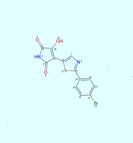 O=C1NC(=O)C(c2cnc(-c3ccc(Br)cc3)s2)=C1O